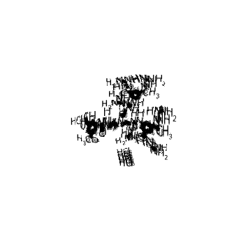 CC(=O)c1cc(NC(=O)NCCCN(CCCNC(=NNC(=N)N)Nc2cc(C(C)=NNC(=N)N)cc(C(C)=NNC(=N)N)c2)CCCNC(=NNC(=N)N)Nc2cc(C(C)=NNC(=N)N)cc(C(C)=NNC(=N)N)c2)cc(C(C)=O)c1.Cl.Cl.Cl.Cl.Cl.Cl.Cl